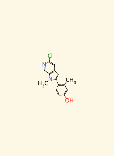 Cc1cc(O)ccc1-c1cc2cc(Cl)ncc2n1C